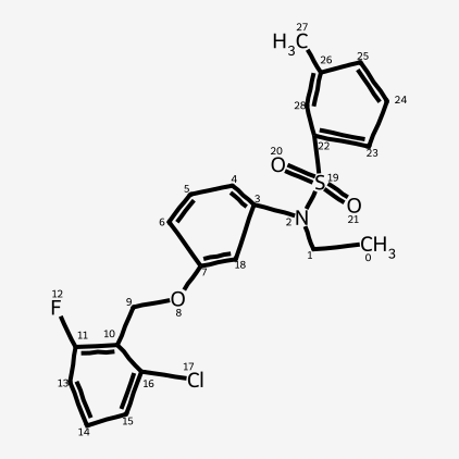 CCN(c1cccc(OCc2c(F)cccc2Cl)c1)S(=O)(=O)c1cccc(C)c1